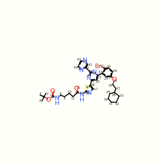 CC(C)(C)OC(=O)NCCCCC(=O)Nc1ncc(-c2cc(-c3cc(OCCC4CCCCC4)ccc3Br)nc(-c3cnccn3)n2)s1